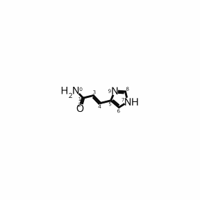 NC(=O)C=Cc1c[nH]cn1